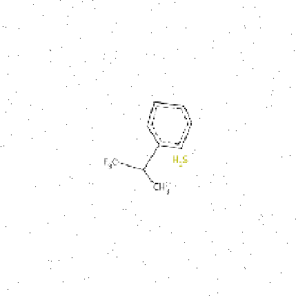 CC(c1ccccc1)C(F)(F)F.S